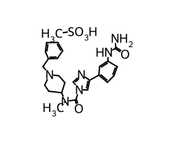 CN(C(=O)n1cnc(-c2cccc(NC(N)=O)c2)c1)C1CCN(Cc2ccccc2)CC1.CS(=O)(=O)O